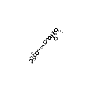 C=C1CCC(N2C(=O)c3ccc(OCCOCCN4CCN(Cc5ccc6c(c5)nc(NC(=O)c5cccc(C(F)(F)F)c5)n6[C@H]5CC[C@H](C)CC5)CC4)cc3C2=O)C(=O)N1